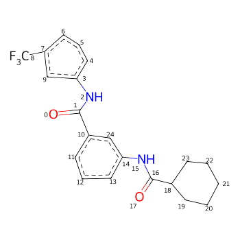 O=C(Nc1cccc(C(F)(F)F)c1)c1cccc(NC(=O)C2CCCCC2)c1